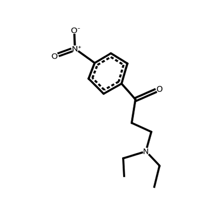 CCN(CC)CCC(=O)c1ccc([N+](=O)[O-])cc1